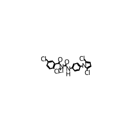 O=C(Nc1ccc(-n2c(Cl)ccc2Cl)cc1)N(Cl)C(=O)c1cc(Cl)ccc1Cl